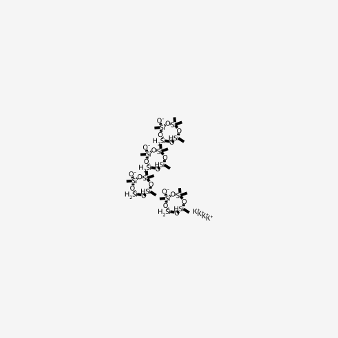 C[SiH]1O[SiH2]O[Si](C)([O-])O[Si](C)(C)O1.C[SiH]1O[SiH2]O[Si](C)([O-])O[Si](C)(C)O1.C[SiH]1O[SiH2]O[Si](C)([O-])O[Si](C)(C)O1.C[SiH]1O[SiH2]O[Si](C)([O-])O[Si](C)(C)O1.[K+].[K+].[K+].[K+]